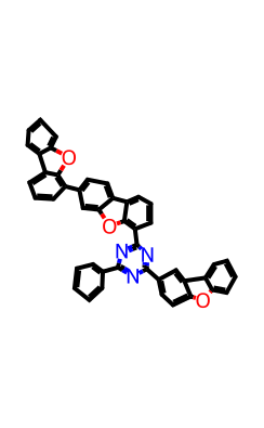 c1ccc(-c2nc(-c3ccc4oc5ccccc5c4c3)nc(-c3cccc4c3oc3cc(-c5cccc6c5oc5ccccc56)ccc34)n2)cc1